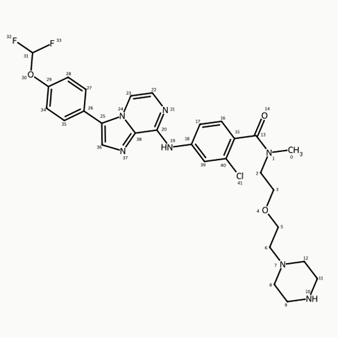 CN(CCOCCN1CCNCC1)C(=O)c1ccc(Nc2nccn3c(-c4ccc(OC(F)F)cc4)cnc23)cc1Cl